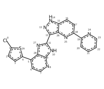 Clc1ccc(-c2ccnc3[nH]c(-c4n[nH]c5ccc(-c6ccccn6)nc45)nc23)s1